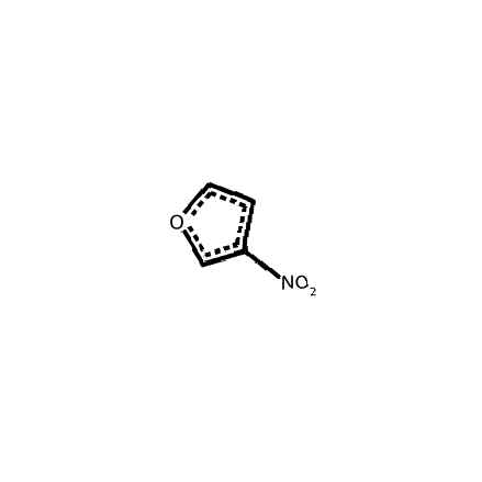 O=[N+]([O-])c1ccoc1